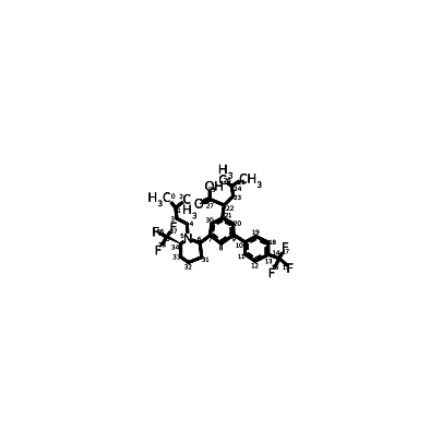 CC(C)CCN1C(c2cc(-c3ccc(C(F)(F)F)cc3)cc(C(CC(C)C)C(=O)O)c2)CCC[C@H]1C(F)(F)F